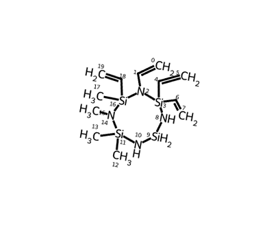 C=CN1[Si](C=C)(C=C)N[SiH2]N[Si](C)(C)N(C)[Si]1(C)C=C